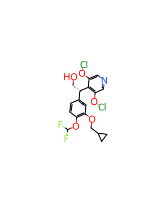 OC[C@@H](c1ccc(OC(F)F)c(OCC2CC2)c1)c1c(OCl)cncc1OCl